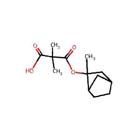 CC(C)(C(=O)O)C(=O)OC1(C)CC2CCC1C2